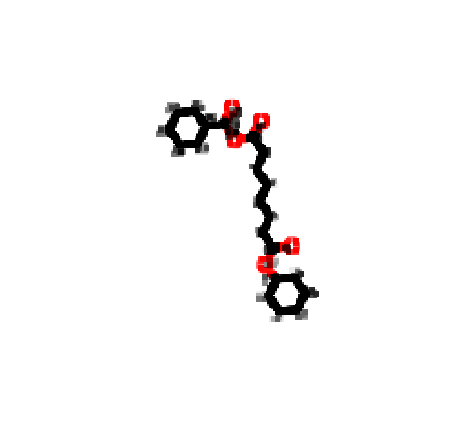 O=C(CCCCCCC(=O)OC1CCCCC1)OC(=O)C1CCCCC1